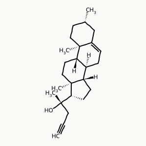 C#CC[C@](C)(O)[C@H]1CC[C@H]2[C@@H]3CC=C4C[C@@H](C)CC[C@]4(C)[C@H]3CC[C@@]21C